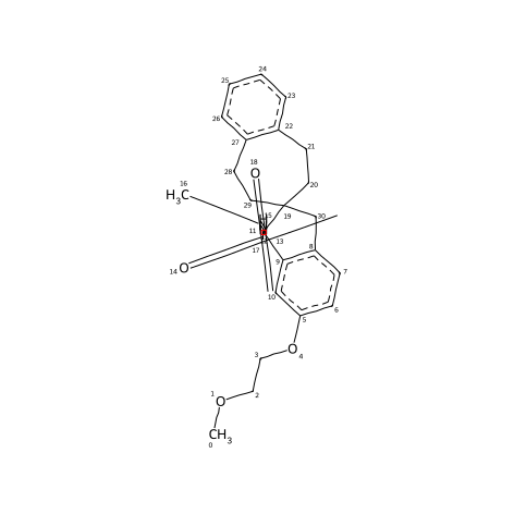 COCCOc1ccc2c(c1)C1(NC(=O)N(C)C1=O)C1(CCc3ccccc3CC1)C2